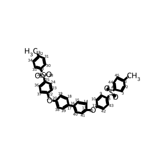 Cc1ccc(S(=O)(=O)c2ccc(Oc3ccc(-c4ccc(Oc5ccc(S(=O)(=O)c6ccc(C)cc6)cc5)cc4)cc3)cc2)cc1